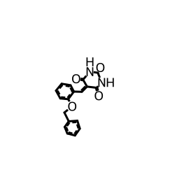 O=C1NC(=O)C(=Cc2ccccc2OCc2ccccc2)C(=O)N1